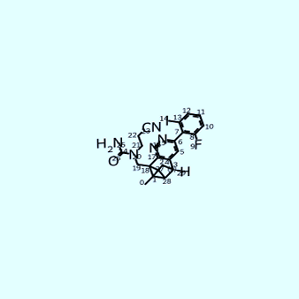 CC12C[C@@H]3c4cc(-c5c(F)cccc5I)nnc4C1(CN(CCC#N)C(N)=O)CC32